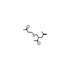 C=C(C)CC(CSCCC(C)=O)C(C)=O